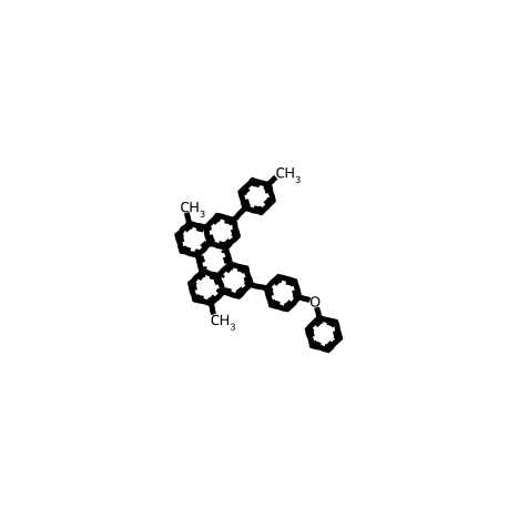 Cc1ccc(-c2cc3c(C)ccc4c5ccc(C)c6cc(-c7ccc(Oc8ccccc8)cc7)cc(c(c2)c34)c65)cc1